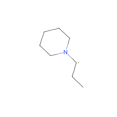 CC[CH]N1CCCCC1